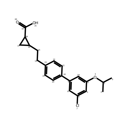 CC(C)Oc1cc(Cl)cc(-c2ccc(CCC3CC3C(=O)O)cc2)c1